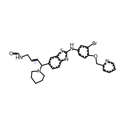 O=CNC/C=C/C(c1ccc2nc(Nc3ccc(OCc4ccccn4)c(Br)c3)sc2c1)N1CCCCC1